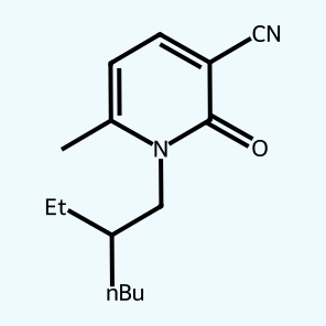 CCCCC(CC)Cn1c(C)ccc(C#N)c1=O